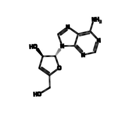 Nc1ncnc2c1ncn2[C@@H]1OC(CO)=C[C@H]1O